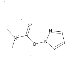 CN(C)C(=O)On1cccn1